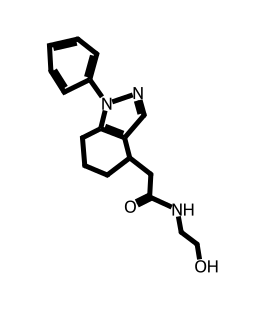 O=C(CC1CCCc2c1cnn2-c1ccccc1)NCCO